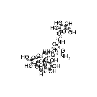 NC(=O)CN(CC(=O)NCCO[C@@H]1O[C@H](CO)[C@@H](O)[C@H](O)[C@@H]1O)CC(=O)N[C@H](CCO[C@H]1O[C@H](CO)[C@@H](O)[C@H](O)[C@@H]1O)CO[C@H]1O[C@H](CO)[C@@H](O)[C@H](O)[C@@H]1O